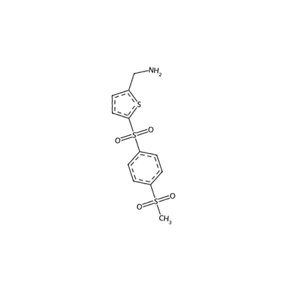 CS(=O)(=O)c1ccc(S(=O)(=O)c2ccc(CN)s2)cc1